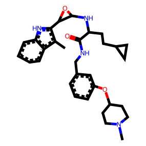 Cc1c(C2OC2NC(CCC2CC2)C(=O)NCc2cccc(OC3CCN(C)CC3)c2)[nH]c2ccccc12